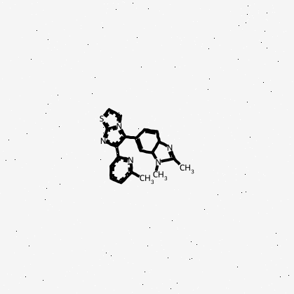 CC1=NC2C=CC(c3c(-c4cccc(C)n4)nc4sccn34)=CC2N1C